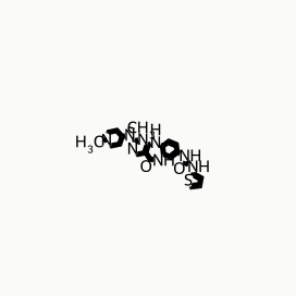 CN1CCC(N(C)c2ncc3c(n2)NC2C=CC(NC(=O)Nc4cccs4)=CC2NC3=O)CC1